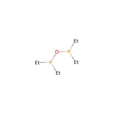 CCP(CC)OP(CC)CC